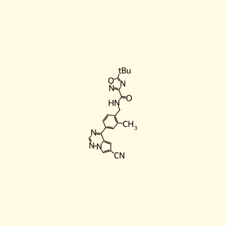 Cc1cc(-c2ncnn3cc(C#N)cc23)ccc1CNC(=O)c1noc(C(C)(C)C)n1